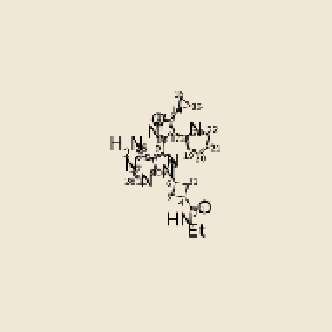 CCNC(=O)C1CC(n2nc(-c3noc(C4CC4)c3-c3ccccn3)c3c(N)ncnc32)C1